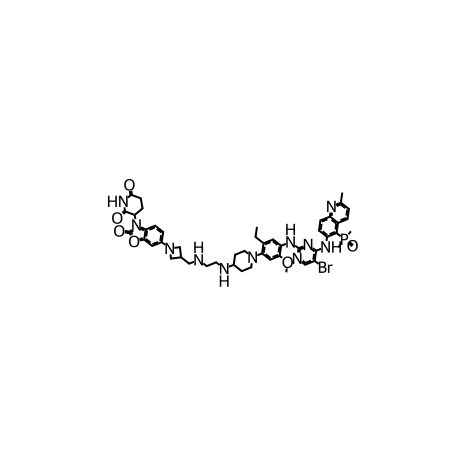 CCc1cc(Nc2ncc(Br)c(Nc3ccc4nc(C)ccc4c3P(C)(C)=O)n2)c(OC)cc1N1CCC(NCCNCC2CN(c3ccc4c(c3)oc(=O)n4C3CCC(=O)NC3=O)C2)CC1